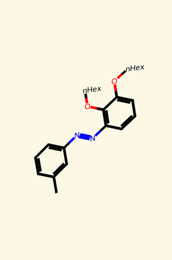 CCCCCCOc1cccc(N=Nc2cccc(C)c2)c1OCCCCCC